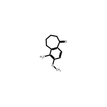 COc1ccc2c(c1C)CCCCC2=O